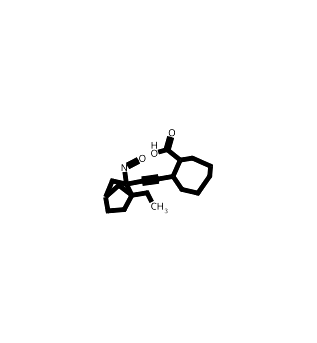 CCC12CCC(C1)CC2(C#CC1CCCCCC1C(=O)O)N=O